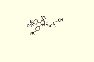 Cn1c(=O)oc2cc(-c3c(-c4ccc(C#N)cc4)nc(OC[C@@H]4CCCN(CCC#N)C4)n4ccnc34)ccc21